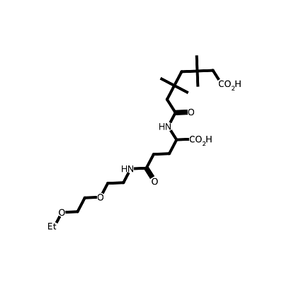 CCOCCOCCNC(=O)CCC(NC(=O)CC(C)(C)CC(C)(C)CC(=O)O)C(=O)O